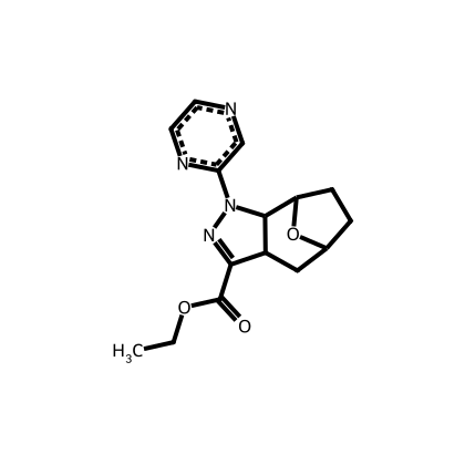 CCOC(=O)C1=NN(c2cnccn2)C2C3CCC(CC12)O3